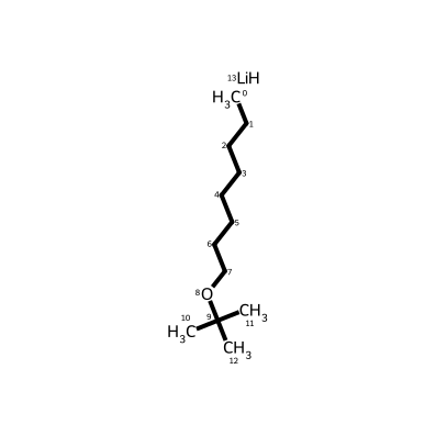 CCCCCCCCOC(C)(C)C.[LiH]